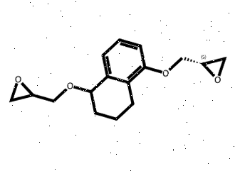 c1cc(OC[C@@H]2CO2)c2c(c1)C(OCC1CO1)CCC2